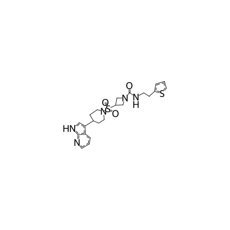 O=C(NCCc1cccs1)N1CC(S(=O)(=O)N2CCC(c3c[nH]c4ncccc34)CC2)C1